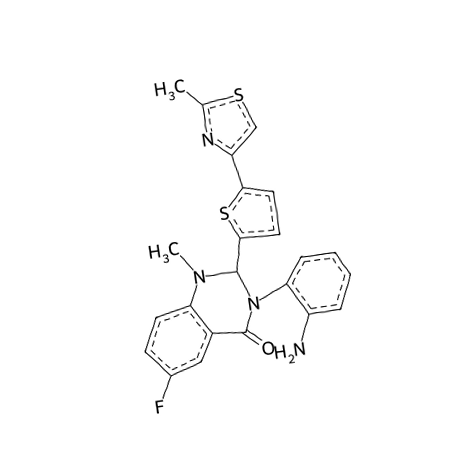 Cc1nc(-c2ccc(C3N(C)c4ccc(F)cc4C(=O)N3c3ccccc3N)s2)cs1